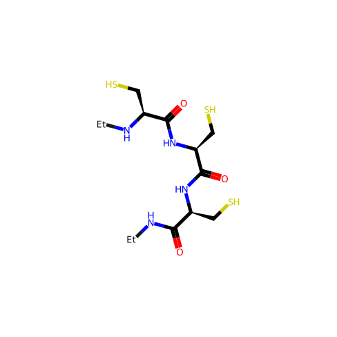 CCNC(=O)[C@H](CS)NC(=O)[C@H](CS)NC(=O)[C@H](CS)NCC